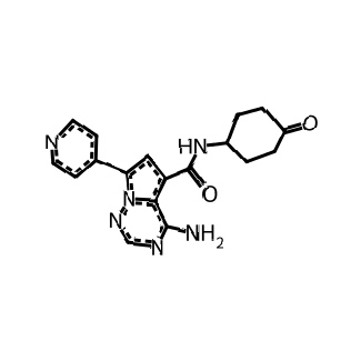 Nc1ncnn2c(-c3ccncc3)cc(C(=O)NC3CCC(=O)CC3)c12